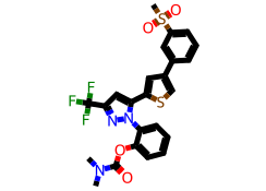 CN(C)C(=O)Oc1ccccc1-n1nc(C(F)(F)F)cc1-c1cc(-c2cccc(S(C)(=O)=O)c2)cs1